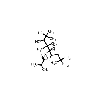 C=C(C)C(=O)OC(CC(C)(C)N)C(C)(C)C(C)(C)C(O)C(C)(C)C